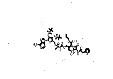 C=CCOC(O)C1=C(COC(=O)NS(=O)(=O)OC[C@H]2O[C@@H](n3cnc4c(N)ncnc43)C(O[Si](C)(C)C(C)(C)C)C2O[Si](C)(C)C(C)(C)C)C[S+]([O-])[C@@H]2[C@H](NC(=O)Cc3cccs3)C(=O)N12